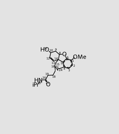 COc1ccc2c3c1OC1CC(O)C=CC31CCN(CCC(=O)NC(C)C)C2